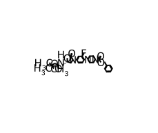 CC(C)(C)OC(=O)NC[C@H]1CN(c2ccc(N3CCN(C(=O)OCc4ccccc4)CC3)c(F)c2)C(=O)O1